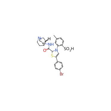 Cc1ccc(S(=O)(=O)O)c(N2C=C(c3ccc(Br)cc3)SC2C(=O)N[C@H]2CN3CCC2CC3)c1